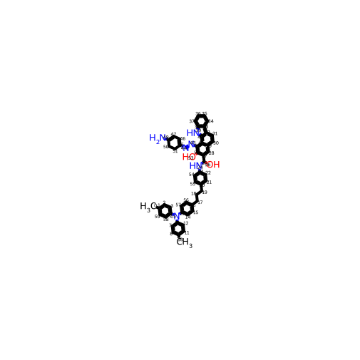 Cc1ccc(N(c2ccc(C)cc2)c2ccc(CCCc3ccc(NC(O)c4cc5ccc6c7ccccc7[nH]c6c5c(N=NC5=CC=C(N)CC5)c4O)cc3)cc2)cc1